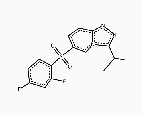 CC(C)c1nnc2ccc(S(=O)(=O)c3ccc(F)cc3F)cn12